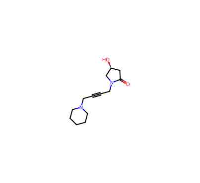 O=C1C[C@H](O)CN1CC#CCN1CCCCC1